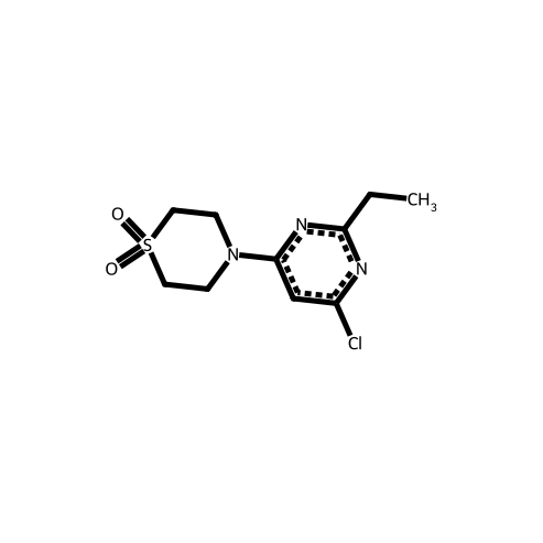 CCc1nc(Cl)cc(N2CCS(=O)(=O)CC2)n1